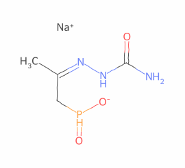 CC(C[PH](=O)[O-])=NNC(N)=O.[Na+]